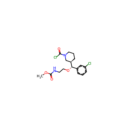 COC(=O)NCCO[C@@H](c1cccc(Cl)c1)[C@@H]1CCCN(C(=O)Cl)C1